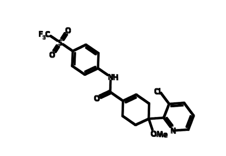 COC1(c2ncccc2Cl)CC=C(C(=O)Nc2ccc(S(=O)(=O)C(F)(F)F)cc2)CC1